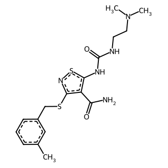 Cc1cccc(CSc2nsc(NC(=O)NCCN(C)C)c2C(N)=O)c1